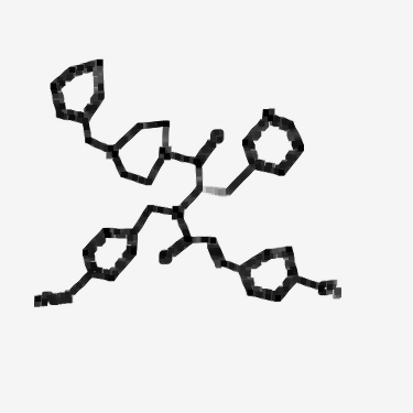 CCCCCc1ccc(CN(C(=O)/C=C/c2ccc(C(F)(F)F)cc2)[C@@H](Cc2cccnc2)C(=O)N2CCN(Cc3ccccc3)CC2)cc1